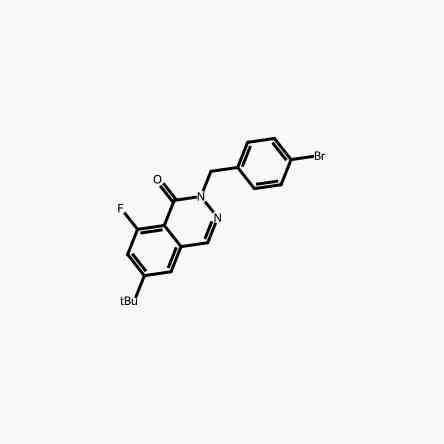 CC(C)(C)c1cc(F)c2c(=O)n(Cc3ccc(Br)cc3)ncc2c1